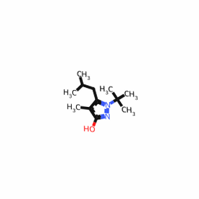 Cc1c(O)nn(C(C)(C)C)c1CC(C)C